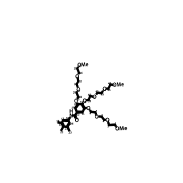 COCCOCCOCCOc1cc(C(=O)Nc2cc(C)c(C)c(C)c2)cc(OCCOCCOCCOC)c1OCCOCCOCCOC